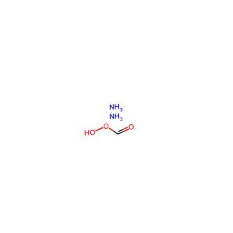 N.N.O=COO